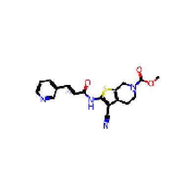 COC(=O)N1CCc2c(sc(NC(=O)/C=C/c3cccnc3)c2C#N)C1